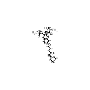 CNC(=O)CN1Cc2ccc(OCCCC(=O)NN3CCOCC3)cc2N=C1NC(=O)N(C)C